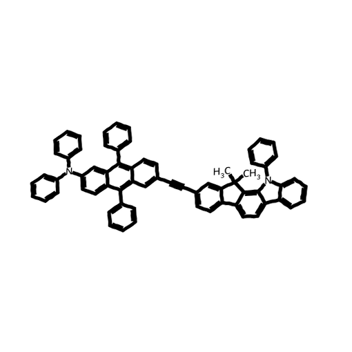 CC1(C)c2cc(C#Cc3ccc4c(-c5ccccc5)c5cc(N(c6ccccc6)c6ccccc6)ccc5c(-c5ccccc5)c4c3)ccc2-c2ccc3c4ccccc4n(-c4ccccc4)c3c21